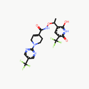 CC(ONC(=O)C1=CCN(c2ncc(C(F)(F)F)cn2)CC1)c1cc(C(F)(F)F)c(=O)[nH]c1O